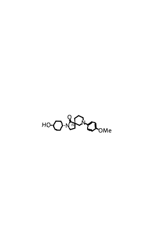 COc1ccc(N2CCC[C@]3(CCN([C@H]4CC[C@H](O)CC4)C3=O)C2)cc1